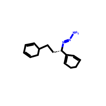 NN=N[C@@H](CCC1C=CC=CC1)C1=CCCC=C1